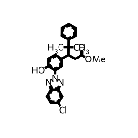 COC(=O)CC(c1ccc(O)c(-n2nc3ccc(Cl)cc3n2)c1)C(C)(C)c1ccccc1